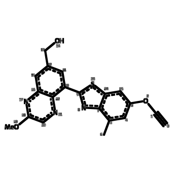 C#COc1cc(C)c2nc(-c3cc(CO)cc4nc(OC)cnc34)sc2c1